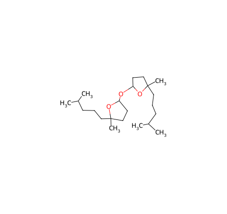 CC(C)CCCC1(C)CCC(OC2CCC(C)(CCCC(C)C)O2)O1